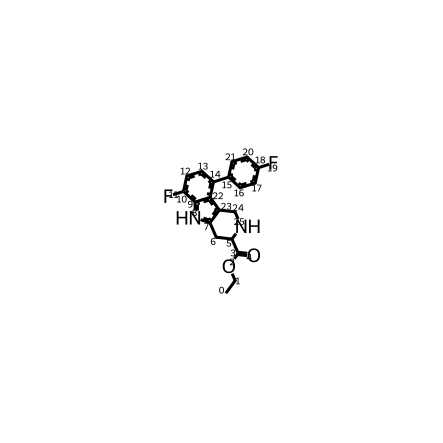 CCOC(=O)C1Cc2[nH]c3c(F)ccc(-c4ccc(F)cc4)c3c2CN1